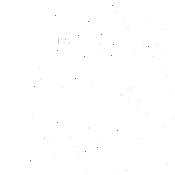 O=C1NCC2(CCCC2)c2c(Br)cc(CCl)cc21